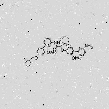 COc1cc(OC(C(=O)Nc2cccc(-c3ccc(OCC4CCCN4C)cc3OC)n2)N2C(C)(C)CCCC2(C)C)ccc1-c1cccc(N)n1